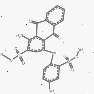 NOS(=O)(=O)c1cc(N)ccc1Nc1cc(S(=O)(=O)ON)c(N)c2c1C(=O)c1ccccc1C2=O